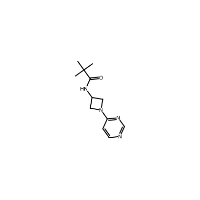 CC(C)(C)C(=O)NC1CN(c2ccncn2)C1